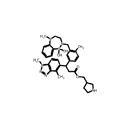 Cc1ccc(C(CC(=O)OCC2CCNC2)c2ccc3c(nnn3C)c2C)cc1CN1CCN(C)c2ccccc2S1(O)O